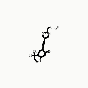 CCc1cc2c(cc1C#Cc1cnc(CC(=O)O)nc1)C(CC)(CC)CCO2